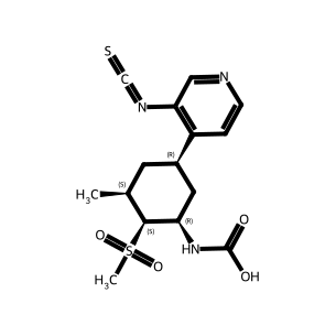 C[C@H]1C[C@@H](c2ccncc2N=C=S)C[C@@H](NC(=O)O)[C@H]1S(C)(=O)=O